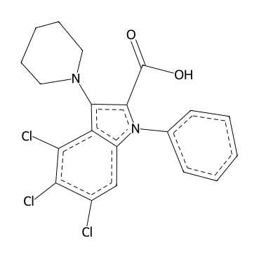 O=C(O)c1c(N2CCCCC2)c2c(Cl)c(Cl)c(Cl)cc2n1-c1ccccc1